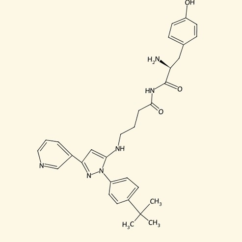 CC(C)(C)c1ccc(-n2nc(-c3cccnc3)cc2NCCCC(=O)NC(=O)[C@@H](N)Cc2ccc(O)cc2)cc1